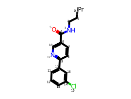 CC(C)CCNC(=O)c1ccc(-c2cccc(Cl)c2)nc1